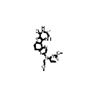 COCCN(c1ccnc(OC)n1)c1cnc2c(ccc3sc4c(c32)NC[C@@H](C)NC4=O)n1